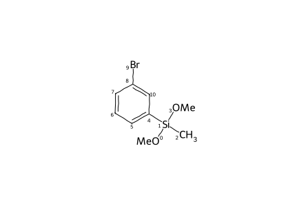 CO[Si](C)(OC)c1cccc(Br)c1